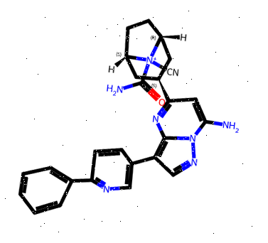 N#C[N+]1(C(N)=O)[C@@H]2CC[C@H]1C[C@H](c1cc(N)n3ncc(-c4ccc(-c5ccccc5)nc4)c3n1)C2